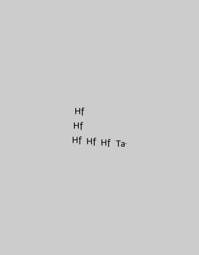 [Hf].[Hf].[Hf].[Hf].[Hf].[Ta]